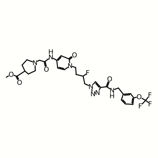 COC(=O)C1CCN(CC(=O)Nc2ccn(CCC(F)Cn3cc(C(=O)NCc4cccc(OC(F)(F)F)c4)nn3)c(=O)c2)CC1